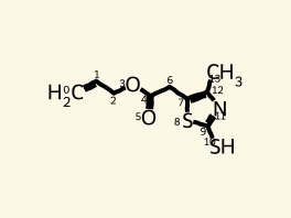 C=CCOC(=O)Cc1sc(S)nc1C